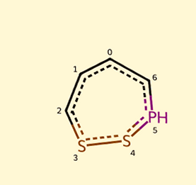 c1ccss[pH]c1